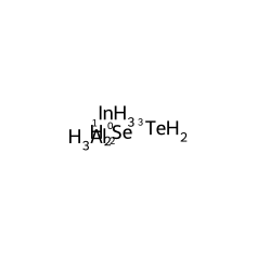 [AlH3].[InH3].[SeH2].[TeH2]